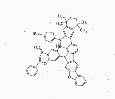 C=C1C=C(c2ccccc2)Oc2cc3c(cc21)Bc1c(-c2cc4c(cc2Nc2ccc(C(C)(C)C)cc2)C(C)(C)CCC4(C)C)ccc2c4cc5c(cc4n-3c12)oc1ccccc15